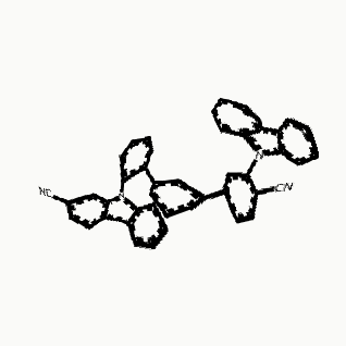 N#Cc1ccc2c3ccccc3n(-c3ccccc3-c3cccc(-c4ccc(C#N)c(-n5c6ccccc6c6ccccc65)c4)c3)c2c1